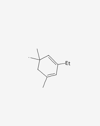 [CH2]C1(C)C=C(CC)C=C(C)C1